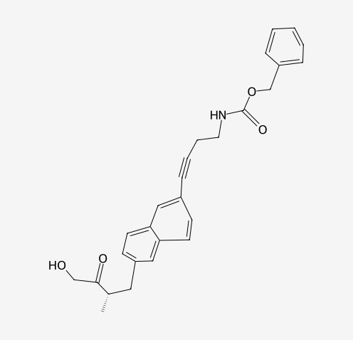 C[C@@H](Cc1ccc2cc(C#CCCNC(=O)OCc3ccccc3)ccc2c1)C(=O)CO